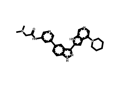 CN(C)CC(=O)Nc1cncc(-c2ccc3[nH]nc(-c4cc5c(N6CCCCC6)cncc5[nH]4)c3c2)c1